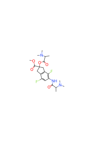 COC(=O)C1(OC(=O)C(C)N(C)C)Cc2c(F)cc(NC(=O)C(C)N(C)C)c(F)c2C1